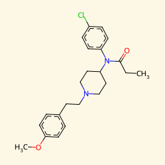 CCC(=O)N(c1ccc(Cl)cc1)C1CCN(CCc2ccc(OC)cc2)CC1